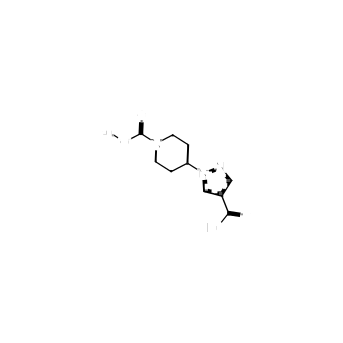 CCC(=O)c1cnn(C2CCN(C(=O)OC(C)(C)C)CC2)c1